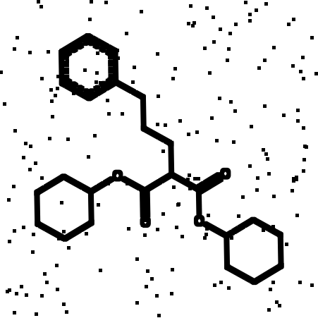 O=C(OC1CCCCC1)C(CCCc1ccccc1)C(=O)OC1CCCCC1